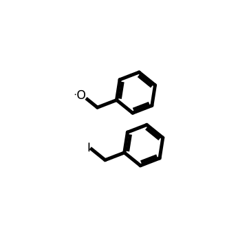 ICc1ccccc1.[O]Cc1ccccc1